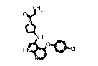 C=CC(=O)N1CCC(Nc2c[nH]c3nccc(Oc4ccc(Cl)cc4)c23)C1